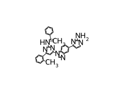 Cc1ccccc1-c1cc(-n2cnc3cc(-c4ccnc(N)n4)ccc32)nc(N[C@@H](C)c2ccccc2)n1